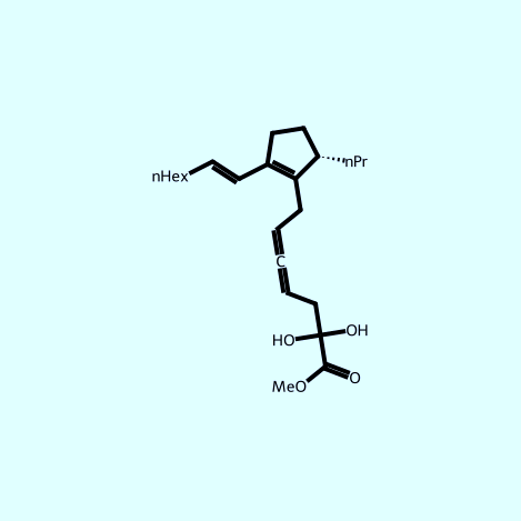 CCCCCC/C=C/C1=C(CC=C=CCC(O)(O)C(=O)OC)[C@@H](CCC)CC1